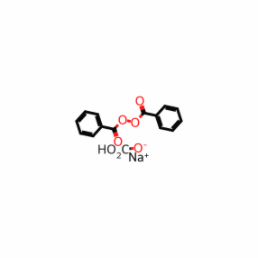 O=C(OOC(=O)c1ccccc1)c1ccccc1.O=C([O-])O.[Na+]